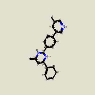 Cc1cncc(-c2ccc(-c3nc(C)cc(C4=CC=CCC4)n3)cc2)c1